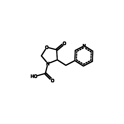 O=C1OCN(C(=O)O)C1Cc1cccnc1